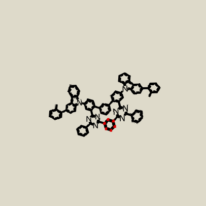 Cc1ccccc1-c1ccc2c(c1)c1ccccc1n2-c1ccc(-c2cccc(-c3ccc(-n4c5ccccc5c5cc(-c6ccccc6C)ccc54)cc3-c3nc(-c4ccccc4)nc(-c4ccccc4)n3)c2)c(-c2nc(-c3ccccc3)nc(-c3ccccc3)n2)c1